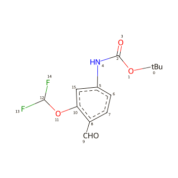 CC(C)(C)OC(=O)Nc1ccc(C=O)c(OC(F)F)c1